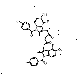 COc1ccc2c(c1F)c(CC(=O)OC(=O)C(C)c1c(C)n(C(=O)c3ccc(Cl)cc3)c3ccc(O)c(F)c13)c(C)n2C(=O)c1ccc(Cl)cc1